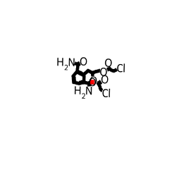 NC(=O)c1cccc(C(N)=O)c1CC(COC(=O)CCl)OC(=O)CCl